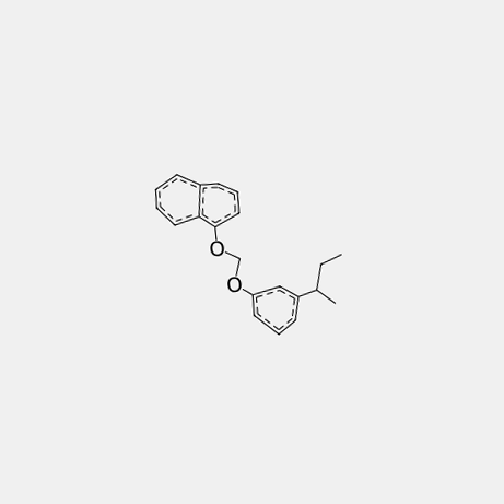 CCC(C)c1cccc(OCOc2cccc3ccccc23)c1